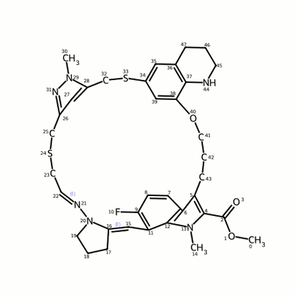 COC(=O)c1c2c3ccc(F)c(c3n1C)/C=C1\CCCN1/N=C/CSCc1cc(n(C)n1)CSc1cc3c(c(c1)OCCC2)NCCC3